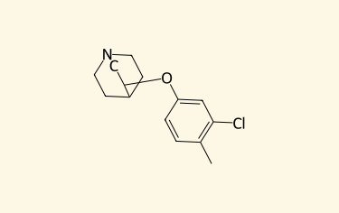 Cc1ccc(OC2CN3CCC2CC3)cc1Cl